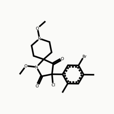 CON1CCC2(CC1)C(=O)C(Cl)(c1cc(Br)c(C)cc1C)C(=O)N2OC